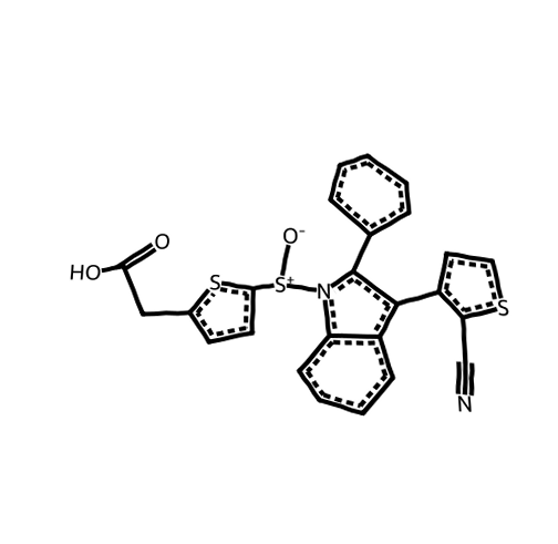 N#Cc1sccc1-c1c(-c2ccccc2)n([S+]([O-])c2ccc(CC(=O)O)s2)c2ccccc12